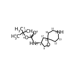 CC(C)(C)OC(=O)N[C@@H]1COC2(CCNCC2)C1